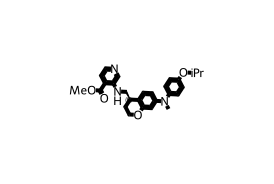 COC(=O)c1ccncc1NC[C@@H]1CCOc2cc(N(C)c3ccc(OC(C)C)cc3)ccc21